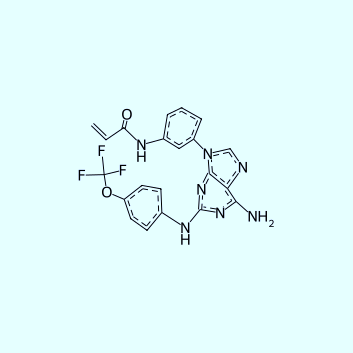 C=CC(=O)Nc1cccc(-n2cnc3c(N)nc(Nc4ccc(OC(F)(F)F)cc4)nc32)c1